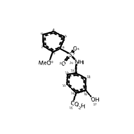 COc1ccccc1S(=O)(=O)Nc1ccc(C(=O)O)c(O)c1